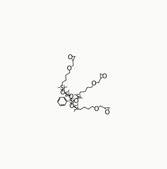 C[Si](C)(CCCCOCC1CO1)O[Si](C)(C)O[Si](O[Si](C)(C)CCCCOCC1CO1)(O[Si](C)(C)CCCCOCC1CO1)c1ccccc1